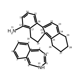 C1=NC=c2ccccc2=CN1.Nc1cccc2c1CCc1c-2ccc2c1CCCC2